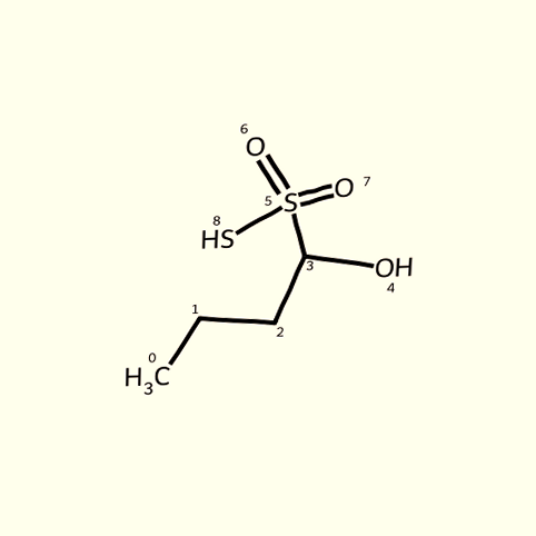 CCCC(O)S(=O)(=O)S